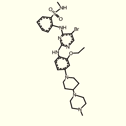 CCOc1cc(N2CCC(N3CCN(C)CC3)CC2)ccc1Nc1ncc(Br)c(Nc2ccccc2S(=O)(=O)NC)n1